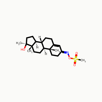 C[C@]12CC/C(=N\OS(C)(=O)=O)C=C1CC[C@@H]1[C@@H]2CC[C@@]2(C)[C@H]1CC[C@]2(C)O